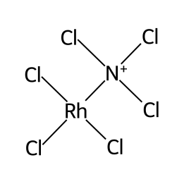 Cl[N+](Cl)(Cl)[Rh]([Cl])([Cl])[Cl]